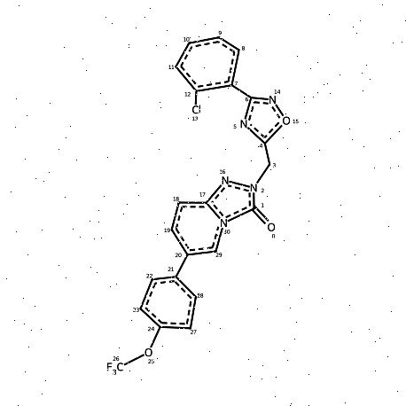 O=c1n(Cc2nc(-c3ccccc3Cl)no2)nc2ccc(-c3ccc(OC(F)(F)F)cc3)cn12